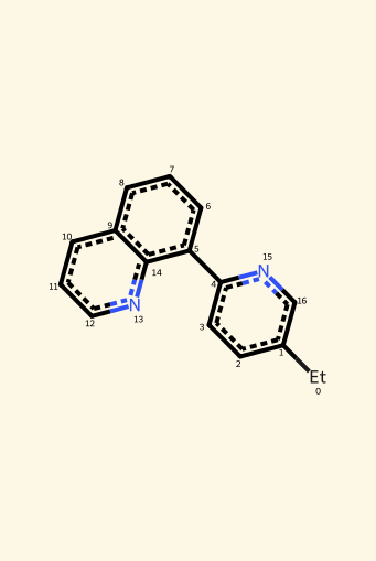 CCc1ccc(-c2cccc3cccnc23)nc1